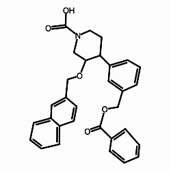 O=C(OCc1cccc(C2CCN(C(=O)O)CC2OCc2ccc3ccccc3c2)c1)c1ccccc1